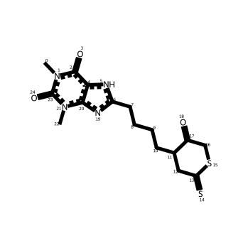 Cn1c(=O)c2[nH]c(CCCCC3CC(=S)SCC3=O)nc2n(C)c1=O